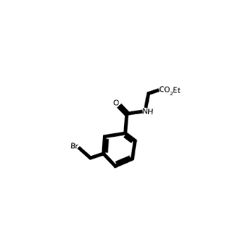 CCOC(=O)CNC(=O)c1cccc(CBr)c1